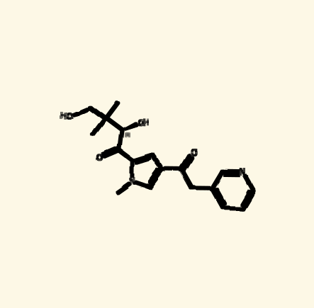 Cn1cc(C(=O)Cc2cccnc2)cc1C(=O)[C@H](O)C(C)(C)CO